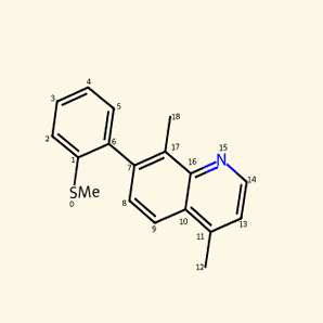 CSc1ccccc1-c1ccc2c(C)ccnc2c1C